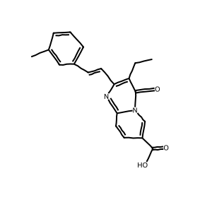 CCc1c(/C=C/c2cccc(C)c2)nc2ccc(C(=O)O)cn2c1=O